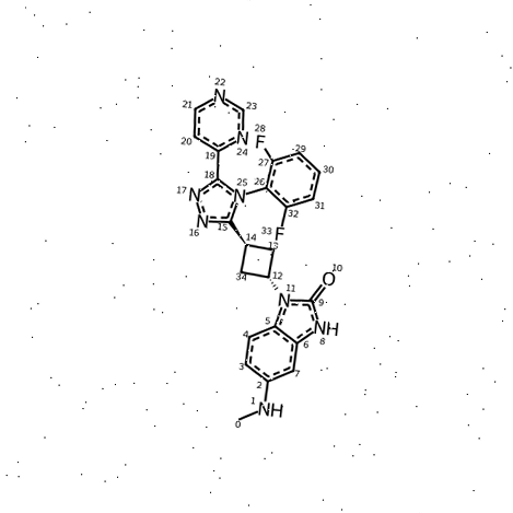 CNc1ccc2c(c1)[nH]c(=O)n2[C@H]1C[C@H](c2nnc(-c3ccncn3)n2-c2c(F)cccc2F)C1